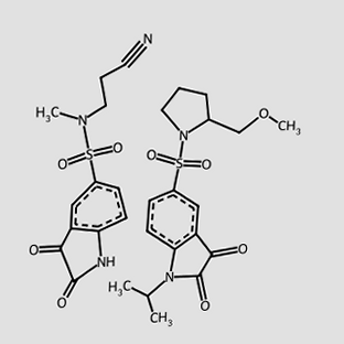 CN(CCC#N)S(=O)(=O)c1ccc2c(c1)C(=O)C(=O)N2.COCC1CCCN1S(=O)(=O)c1ccc2c(c1)C(=O)C(=O)N2C(C)C